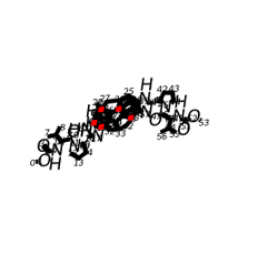 COC(=O)N[C@@H](C(C)C)C(O)N1CCC[C@H]1c1nc2cc(-c3cc4ccc3C[C@@H](C)[C@@H]3C=CC(=C(c5ccc6[nH]c([C@@H]7CCCN7C(=O)[C@@H](NC(=O)OC)C(C)C)nc6c5)C3C)CC4)ccc2[nH]1